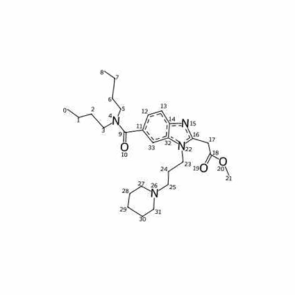 CCCCN(CCCC)C(=O)c1ccc2nc(CC(=O)OC)n(CCCN3CCCCC3)c2c1